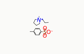 CCC[N+]1(C)CCCC1.Cc1ccc(S(=O)(=O)[O-])cc1